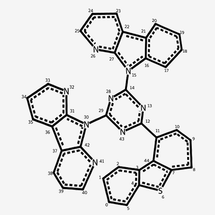 c1ccc2c(c1)sc1cccc(-c3nc(-n4c5ccccc5c5cccnc54)nc(-n4c5ncccc5c5cccnc54)n3)c12